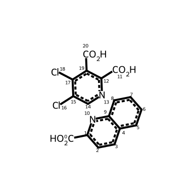 O=C(O)c1ccc2ccccc2n1.O=C(O)c1ncc(Cl)c(Cl)c1C(=O)O